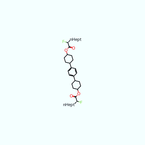 CCCCCCC[C@H](F)C(=O)OC1CCC(c2ccc(C3CCC(OC(=O)[C@@H](F)CCCCCCC)CC3)cc2)CC1